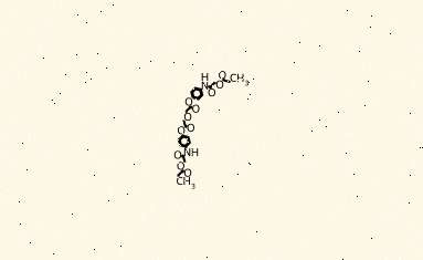 CCC(=O)OCC(=O)Nc1ccc(OC(=O)COCC(=O)Oc2ccc(NC(=O)COC(=O)CC)cc2)cc1